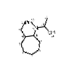 CC(C)CC1CCCCCC1N(C)C(C)O